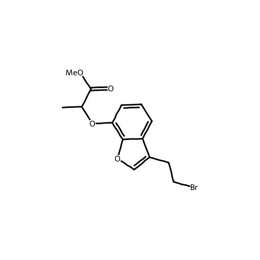 COC(=O)C(C)Oc1cccc2c(CCBr)coc12